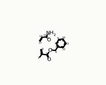 C=C(C)C(=O)OCc1ccccc1.C=CC(N)=O